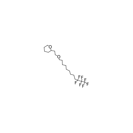 FC(F)(F)C(F)(F)C(F)(F)CCCCCCCCCOCCC1CCCCO1